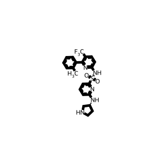 Cc1ccccc1-c1nc(NS(=O)(=O)c2cccc(N[C@@H]3CCNC3)n2)ccc1C(F)(F)F